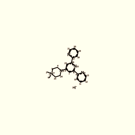 C[N+]1(C)CCN(c2cc(-c3ccccn3)nc(-c3ccccn3)c2)CC1.[I-]